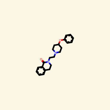 O=C1c2ccccc2CCN1CCN1CCC(Oc2ccccc2)CC1